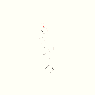 C[C@]12CCC3C(CC[C@@H]4C[C@@H](Oc5cc(OC(=O)O)ccc5[N+](=O)[O-])CC[C@]34C)C1CC[C@@H]2C1=CC(=O)OC1